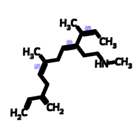 C=CC(=C)C/C=C(/C)C/C=C(CCNC)/C(C)=C\C